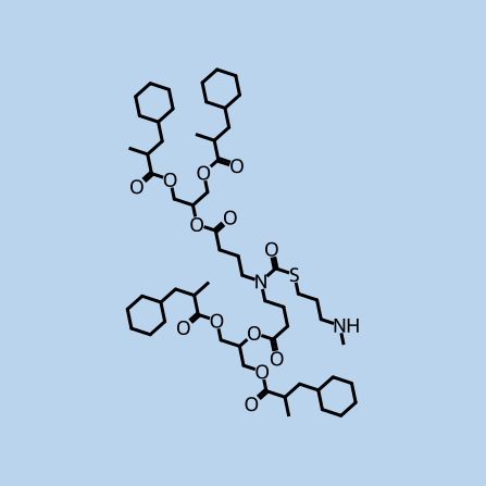 CNCCCSC(=O)N(CCCC(=O)OC(COC(=O)C(C)CC1CCCCC1)COC(=O)C(C)CC1CCCCC1)CCCC(=O)OC(COC(=O)C(C)CC1CCCCC1)COC(=O)C(C)CC1CCCCC1